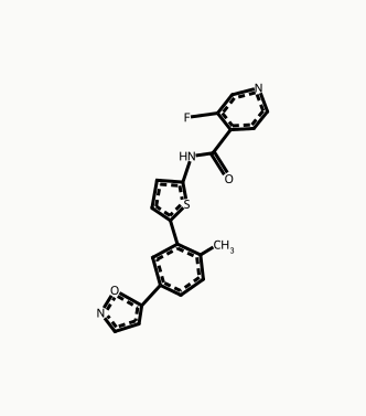 Cc1ccc(-c2ccno2)cc1-c1ccc(NC(=O)c2ccncc2F)s1